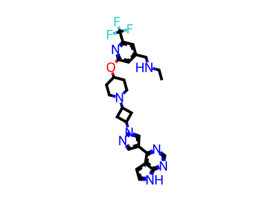 CCNCc1cc(OC2CCN(C3CC(n4cc(-c5ncnc6[nH]ccc56)cn4)C3)CC2)nc(C(F)(F)F)c1